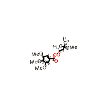 COc1cc(C(=O)OO[CH]CC(C)(C)OC)cc(OC)c1OC